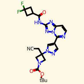 CC(C)(C)OC(=O)N1CC(CC#N)(n2cc(-c3nccc4nc(NC(=O)C5CC(F)(F)C5)nn34)cn2)C1